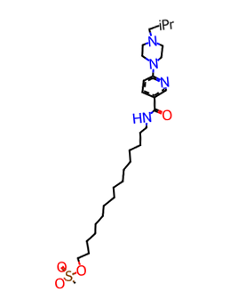 CC(C)CN1CCN(c2ccc(C(=O)NCCCCCCCCCCCCCCCCOS(C)(=O)=O)cn2)CC1